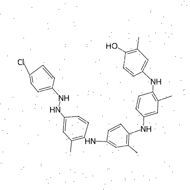 Cc1cc(Nc2ccc(Nc3ccc(Nc4ccc(NNc5ccc(Cl)cc5)cc4C)cc3C)cc2C)ccc1O